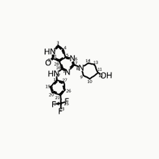 O=c1[nH]ccc2nc(N3CCC(O)CC3)nc(Nc3ccc(C(F)(F)F)cc3)c12